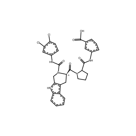 O=C(O)c1cccc(NC(=O)C2CCCN2C(=O)[C@H]2Cc3c([nH]c4ccccc34)CN2C(=O)Nc2ccc(Cl)c(Cl)c2)c1